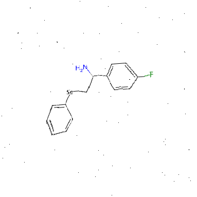 NC(C[Se]c1ccccc1)c1ccc(F)cc1